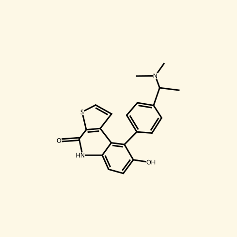 CC(c1ccc(-c2c(O)ccc3[nH]c(=O)c4sccc4c23)cc1)N(C)C